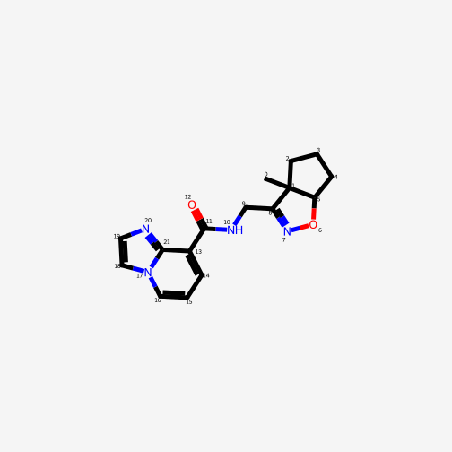 CC12CCCC1ON=C2CNC(=O)c1cccn2ccnc12